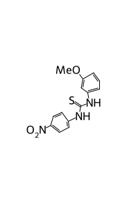 COc1cccc(NC(=S)Nc2ccc([N+](=O)[O-])cc2)c1